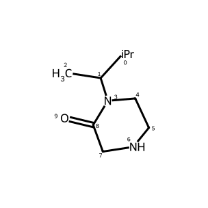 CC(C)C(C)N1CCNCC1=O